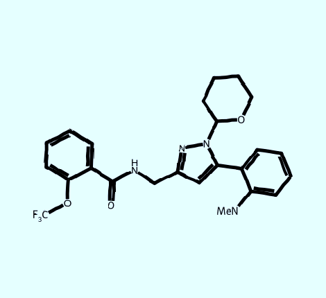 CNc1ccccc1-c1cc(CNC(=O)c2ccccc2OC(F)(F)F)nn1C1CCCCO1